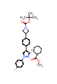 COC(=O)[C@@H]1CCCC[C@H]1c1nn(-c2ccc(F)cc2)cc1-c1ccc(C2CN(C(=O)OC(C)(C)C)C2)cc1